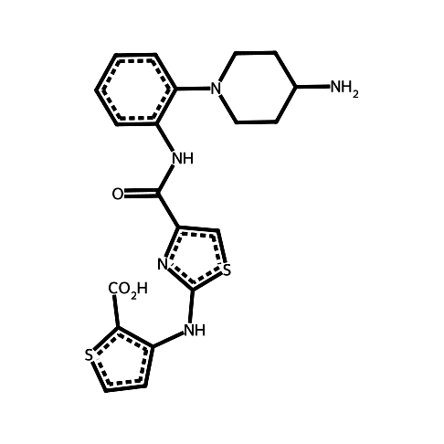 NC1CCN(c2ccccc2NC(=O)c2csc(Nc3ccsc3C(=O)O)n2)CC1